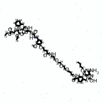 CCCCOc1nc(N)c2nc(O)n(Cc3ccc(C(=O)NCCCOCCOCCOCCCNC(=O)CCCOc4ccc(/C=C/C(=O)NCC(=O)N[C@@H](Cc5ccccc5)C(=O)N[C@H](CCC(=O)OCC)C(=O)OCC)cc4OC)cc3)c2n1